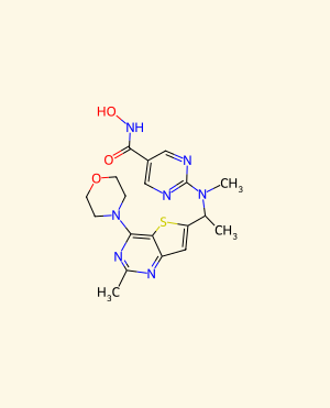 Cc1nc(N2CCOCC2)c2sc(C(C)N(C)c3ncc(C(=O)NO)cn3)cc2n1